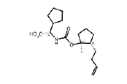 C=CCC[C@H]1CCC[C@]1(C)OC(=O)N[C@H](C(=O)O)C1CCCC1